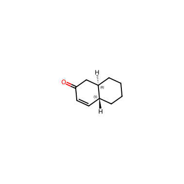 O=C1C=C[C@H]2CCCC[C@@H]2C1